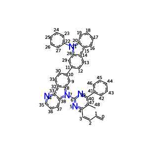 C=C/C=C\c1nc(-n2c3cc(-c4ccc5c6ccccc6n(-c6ccccc6)c5c4)ccc3c3ncccc32)nc(-c2ccccc2)c1C